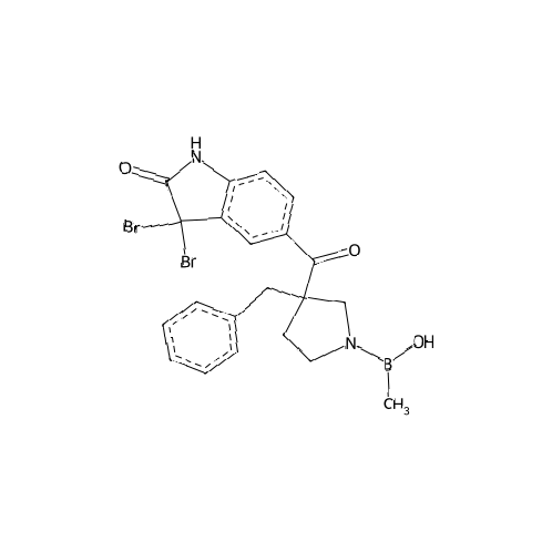 CB(O)N1CCC(Cc2ccccc2)(C(=O)c2ccc3c(c2)C(Br)(Br)C(=O)N3)C1